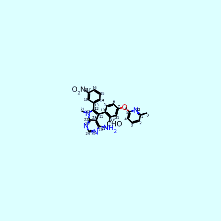 Cc1cccc(Oc2ccc(-c3c(-c4cccc([N+](=O)[O-])c4)n(C)c4ncnc(N)c34)c(C=O)c2)n1